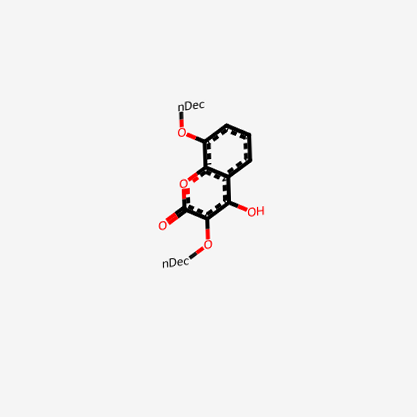 CCCCCCCCCCOc1c(O)c2cccc(OCCCCCCCCCC)c2oc1=O